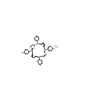 Clc1ccc(-c2c3nc(c(-c4ccc(Cl)cc4)c4ccc([nH]4)c(-c4ccc(Cl)cc4)c4nc(c(-c5ccc(Cl)cc5)c5ccc2[nH]5)C=C4)C=C3)cc1.[Mn]